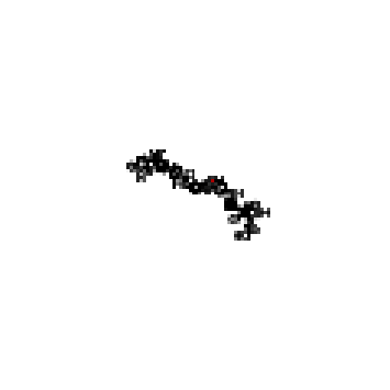 Cn1nc(C2CCC(=O)NC2=O)c2ccc(C3CCN(C(=O)Nc4cccc(CS(=O)(=O)N5CC[C@H](Nc6cccc(-c7sc(C(=O)O)c(OCC(=O)O)c7Cl)c6)CC5(C)C)c4)CC3)cc21